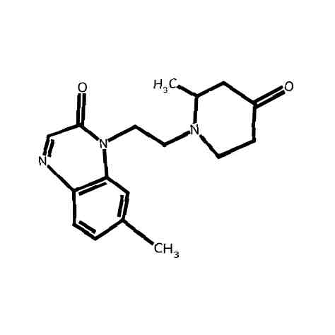 Cc1ccc2ncc(=O)n(CCN3CCC(=O)CC3C)c2c1